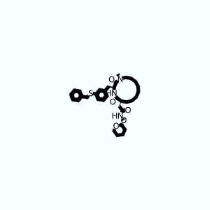 CN1CCCCCCCC[C@H](CC(=O)NOC2CCCCO2)C(=O)N[C@@H](Cc2cccc(SCc3ccccc3)c2)C1=O